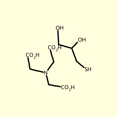 O=C(O)CN(CC(=O)O)CC(=O)O.OCC(O)CS